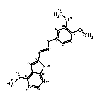 COc1ccc(CN=Cc2cc3c(SC)ncnc3s2)cc1OC